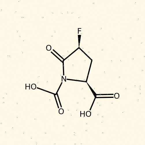 O=C(O)[C@@H]1C[C@H](F)C(=O)N1C(=O)O